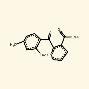 COC(=O)c1cccnc1C(=O)c1ccc(C)cc1OC